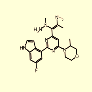 C/C(N)=C(\c1cc(N2CCOCC2C)nc(-c2cc(F)cc3[nH]ccc23)n1)N(C)N